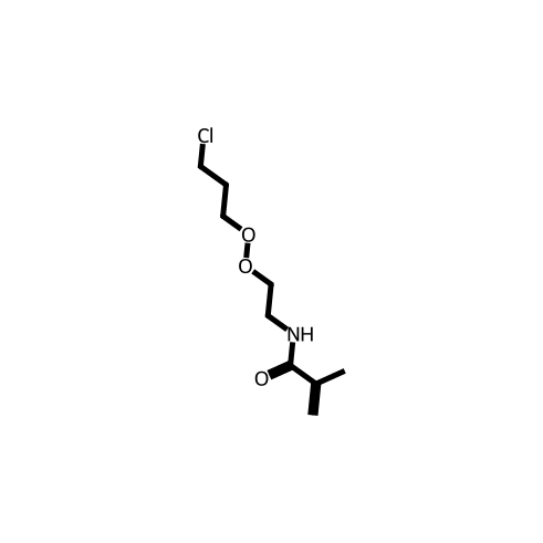 C=C(C)C(=O)NCCOOCCCCl